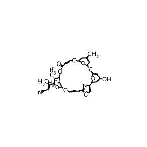 C=C1CC2C/C=C\C(=O)OC3C(C)C(C/C=C/c4nc(co4)C4CC(O)CC(CC(C1)O2)O4)OC(/C(C)=C/C#N)[C@@H]3C